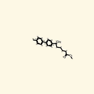 COC(=O)CCCCC(O)c1ccc(-c2ccc(C)cc2)cc1